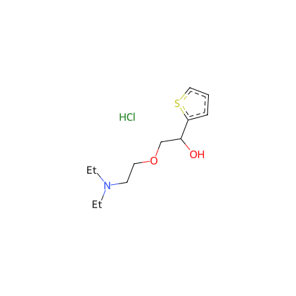 CCN(CC)CCOCC(O)c1cccs1.Cl